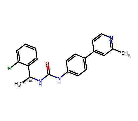 Cc1cc(-c2ccc(NC(=O)N[C@@H](C)c3ccccc3F)cc2)ccn1